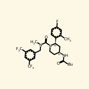 CCC(C)C(=O)N[C@H]1CCN(C(=O)N(C)Cc2cc(C(F)(F)F)cc(C(F)(F)F)c2)[C@@H](c2ccc(F)cc2C)C1